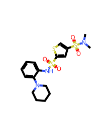 CN(C)S(=O)(=O)c1csc(S(=O)(=O)Nc2ccccc2N2CCCCC2)c1